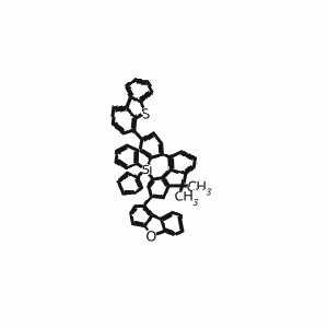 CC1(C)c2cccc3c2-c2c1cc(-c1cccc4oc5ccccc5c14)cc2[Si](c1ccccc1)(c1ccccc1)c1cc(-c2cccc4c2sc2ccccc24)ccc1-3